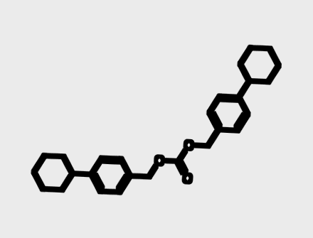 O=C(OCc1ccc(C2CCCCC2)cc1)OCc1ccc(C2CCCCC2)cc1